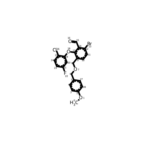 COc1ccc(COCc2ccc(Br)c(C=O)c2Oc2cc(F)ccc2Cl)cc1